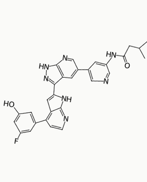 CC(C)CC(=O)Nc1cncc(-c2cnc3[nH]nc(-c4cc5c(-c6cc(O)cc(F)c6)ccnc5[nH]4)c3c2)c1